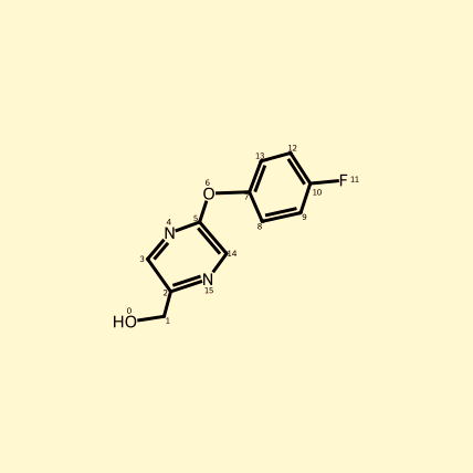 OCc1cnc(Oc2ccc(F)cc2)cn1